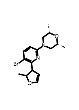 CC1OC=CC1c1nc(N2C[C@@H](C)O[C@@H](C)C2)ccc1Br